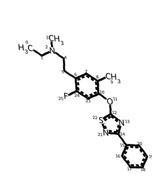 CCN(C)CCc1cc(C)c(Oc2nc(-c3ccccc3)ns2)cc1F